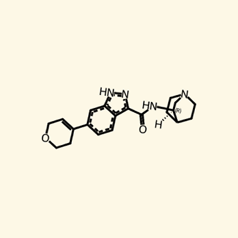 O=C(N[C@H]1CN2CCC1CC2)c1n[nH]c2cc(C3=CCOCC3)ccc12